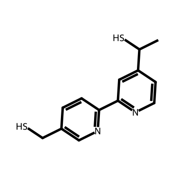 CC(S)c1ccnc(-c2ccc(CS)cn2)c1